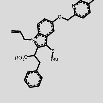 C=CCn1c(C(Cc2ccccc2)C(=O)O)c(SC(C)(C)C)c2cc(OCc3ccc(C)cn3)ccc21